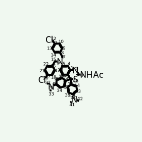 CC(=O)NC1=Nc2cc(N(Cc3ccc(Cl)cc3)Cc3ccc(Cl)cc3)ccc2C(c2ccc(N(C)C)cc2)(c2ccc(N(C)C)cc2)S1